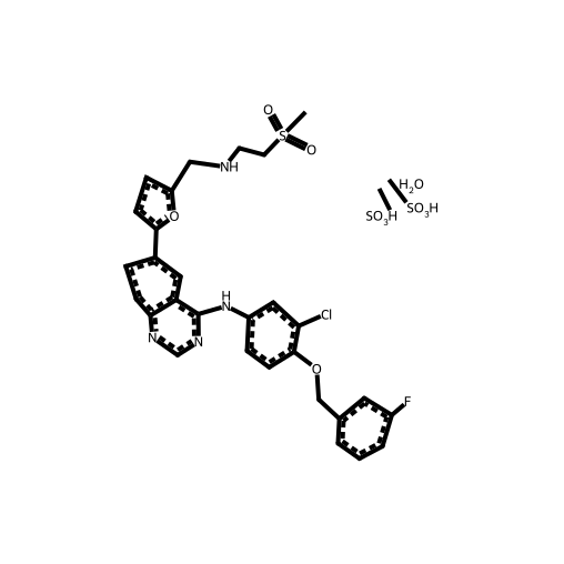 CS(=O)(=O)CCNCc1ccc(-c2ccc3ncnc(Nc4ccc(OCc5cccc(F)c5)c(Cl)c4)c3c2)o1.CS(=O)(=O)O.CS(=O)(=O)O.O